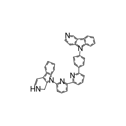 C1=Cc2c(n(-c3cccc(-c4cccc(-c5ccc(-n6c7ccccc7c7cnccc76)cc5)n4)n3)c3ccccc23)CN1